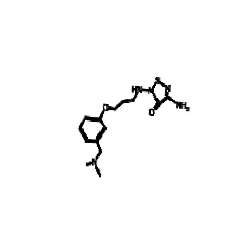 CN(C)Cc1cccc(OCCCNn2snc(N)c2=O)c1